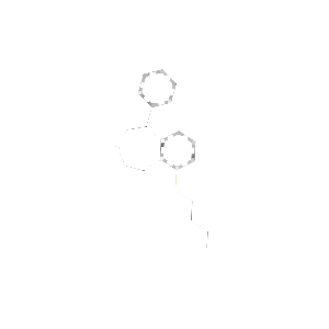 CCCCSc1cccc2c1CCNCC2c1ccccc1